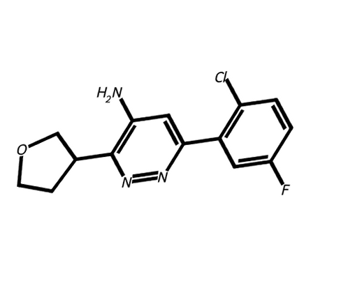 Nc1cc(-c2cc(F)ccc2Cl)nnc1C1CCOC1